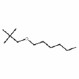 CCCCCCOCC(C)(C)C